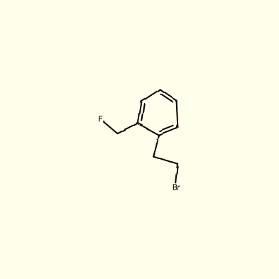 FCc1ccccc1CCBr